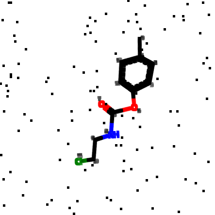 Cc1ccc(OC(=O)NCCCl)cc1